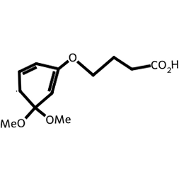 COC1(OC)[CH]C=CC(OCCCC(=O)O)=C1